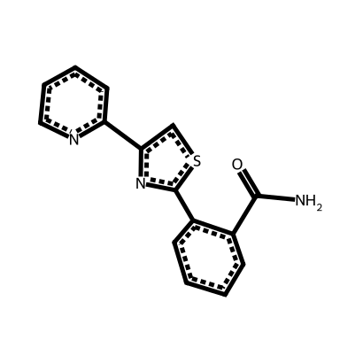 NC(=O)c1ccccc1-c1nc(-c2ccccn2)cs1